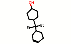 CCC(CC)(C1CC=CCC1)C1CCC(O)CC1